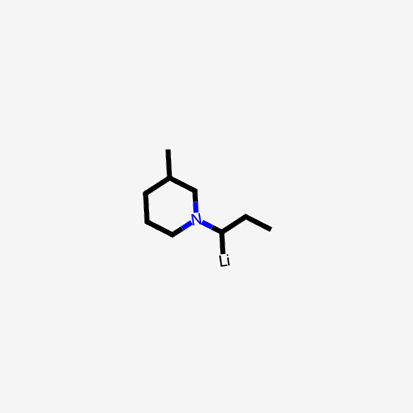 [Li][CH](CC)N1CCCC(C)C1